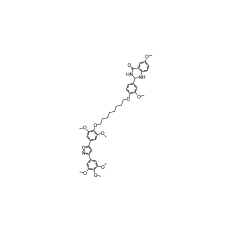 COc1ccc2c(c1)C(=O)NC(c1ccc(OCCCCCCCCOc3c(OC)cc(-c4cc(-c5cc(OC)c(OC)c(OC)c5)no4)cc3OC)c(OC)c1)N2